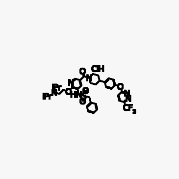 CC(C)N(CCOc1ncc(C(=O)N2CCC(c3ccc(Oc4ccc(C(F)(F)F)nn4)cc3)CC2)cc1NS(=O)(=O)Cc1ccccc1)C(C)C.Cl